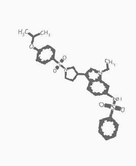 CCn1cc(C2CCN(S(=O)(=O)c3ccc(OC(C)C)cc3)C2)c2ccc(NS(=O)(=O)c3ccccc3)cc21